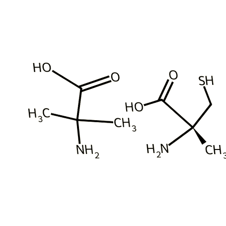 CC(C)(N)C(=O)O.C[C@](N)(CS)C(=O)O